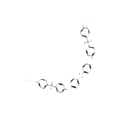 COc1ccc(C(C)(C)c2ccc(Oc3ccc(S(=O)(=O)c4ccc(Oc5ccc(C(C)(C)c6ccc(OC)cc6)cc5)cc4)cc3)cc2)cc1